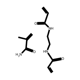 C=C(C)C(N)=O.C=CC(=O)NCCNC(=O)C=C